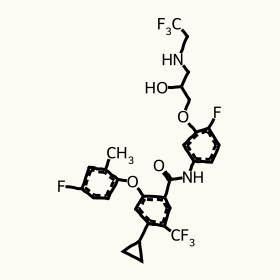 Cc1cc(F)ccc1Oc1cc(C2CC2)c(C(F)(F)F)cc1C(=O)Nc1ccc(F)c(OCC(O)CNCC(F)(F)F)c1